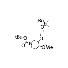 CO[C@H]1CCN(C(=O)OC(C)(C)C)C[C@H]1OCCO[Si](C)(C)C(C)(C)C